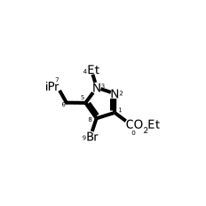 CCOC(=O)c1nn(CC)c(CC(C)C)c1Br